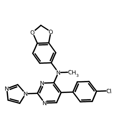 CN(c1ccc2c(c1)OCO2)c1nc(-n2ccnc2)ncc1-c1ccc(Cl)cc1